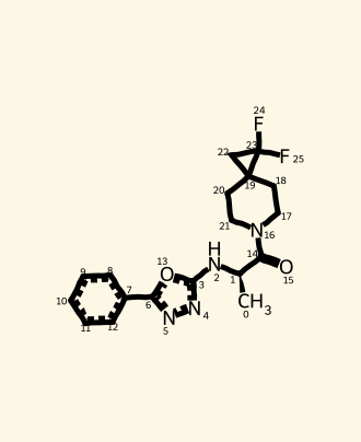 C[C@@H](Nc1nnc(-c2ccccc2)o1)C(=O)N1CCC2(CC1)CC2(F)F